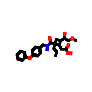 CCCC1(C(=O)NCc2ccc(Oc3ccccc3)cc2)CC(C(=O)COC)C1CC(=O)O